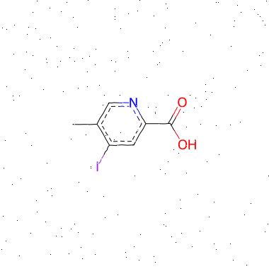 Cc1cnc(C(=O)O)cc1I